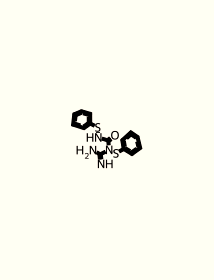 N=C(N)N(Sc1ccccc1)C(=O)NSc1ccccc1